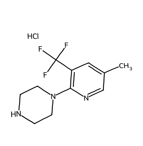 Cc1cnc(N2CCNCC2)c(C(F)(F)F)c1.Cl